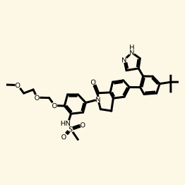 COCCOCOc1ccc(N2CCc3cc(-c4ccc(C(C)(C)C)cc4-c4cn[nH]c4)ccc3C2=O)cc1NS(C)(=O)=O